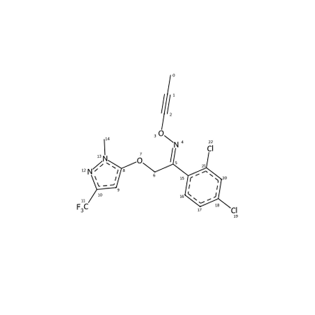 CC#CO/N=C(\COc1cc(C(F)(F)F)nn1C)c1ccc(Cl)cc1Cl